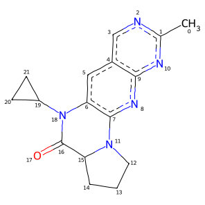 Cc1ncc2cc3c(nc2n1)N1CCCC1C(=O)N3C1CC1